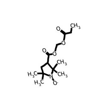 CCC(=O)OCOC(=O)C1CC(C)(C)N([O])C1(C)C